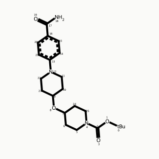 CC(C)(C)OC(=O)N1CCC(OC2CCN(c3ccc(C(N)=O)cc3)CC2)CC1